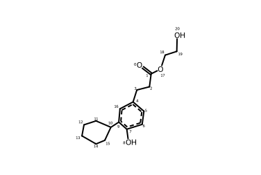 O=C(CCc1ccc(O)c(C2CCCCC2)c1)OCCO